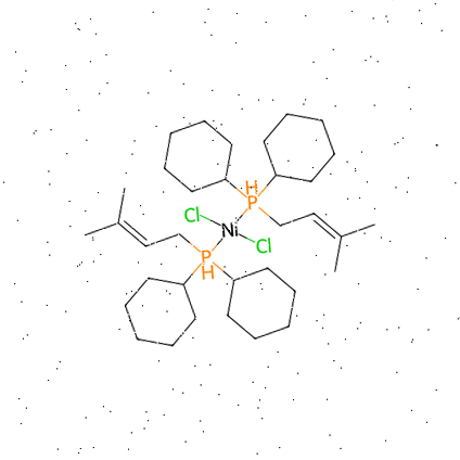 CC(C)=CC[PH](C1CCCCC1)(C1CCCCC1)[Ni]([Cl])([Cl])[PH](CC=C(C)C)(C1CCCCC1)C1CCCCC1